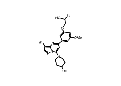 CC[C@H](O)COc1cc(OC)cc(-c2cc(N3CCC(O)CC3)n3ncc(C(C)C)c3n2)c1